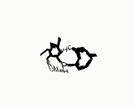 COc1c(C)cc(C)cc1Pc1ccc(C)cc1C=O